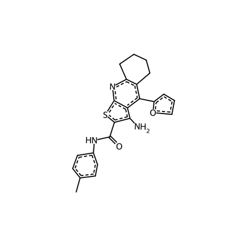 Cc1ccc(NC(=O)c2sc3nc4c(c(-c5ccco5)c3c2N)CCCC4)cc1